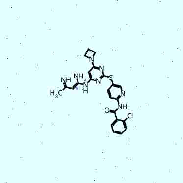 CC(=N)/C=C(\N)Nc1cc(N2CCC2)nc(Sc2ccc(NC(=O)c3ccccc3Cl)nc2)n1